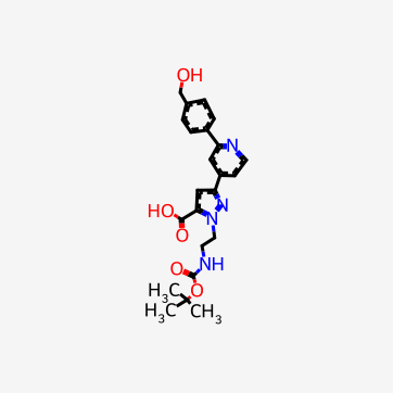 CC(C)(C)OC(=O)NCCn1nc(-c2ccnc(-c3ccc(CO)cc3)c2)cc1C(=O)O